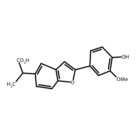 COc1cc(-c2cc3cc(C(C)C(=O)O)ccc3o2)ccc1O